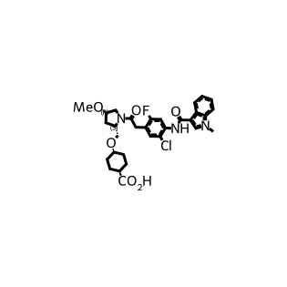 CO[C@@H]1C[C@@H](CO[C@H]2CC[C@H](C(=O)O)CC2)N(C(=O)Cc2cc(Cl)c(NC(=O)c3cn(C)c4ccccc34)cc2F)C1